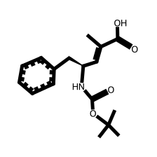 C/C(=C\[C@H](Cc1ccccc1)NC(=O)OC(C)(C)C)C(=O)O